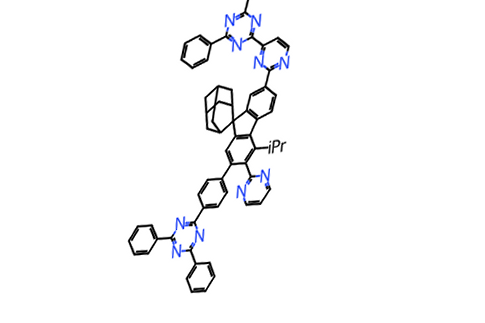 CC(C)c1c(-c2ncccn2)c(-c2ccc(-c3nc(-c4ccccc4)nc(-c4ccccc4)n3)cc2)cc2c1-c1ccc(-c3nccc(-c4nc(-c5ccccc5)nc(-c5ccccc5)n4)n3)cc1C21C2CC3CC(C2)CC1C3